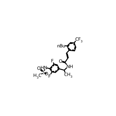 CCCCc1cc(C(F)(F)F)ccc1C=CC(=O)NC(C)c1cc(F)c(NS(C)(=O)=O)c(F)c1